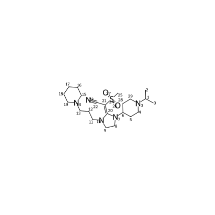 CC(C)N1CCC(N2CCN(CCCN3CCCCC3)C2=C(C#N)S(C)(=O)=O)CC1